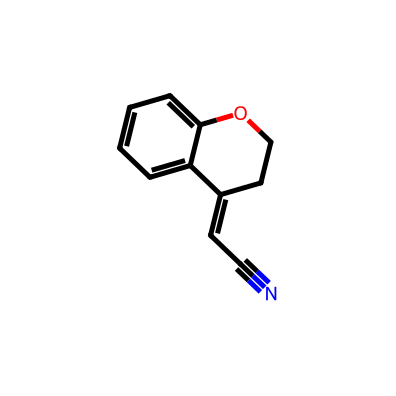 N#C/C=C1\CCOc2ccccc21